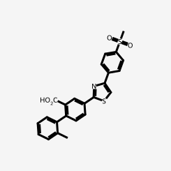 Cc1ccccc1-c1ccc(-c2nc(-c3ccc(S(C)(=O)=O)cc3)cs2)cc1C(=O)O